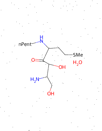 CCCCCNC(CCSC)C(=O)C(O)C(N)CO.O